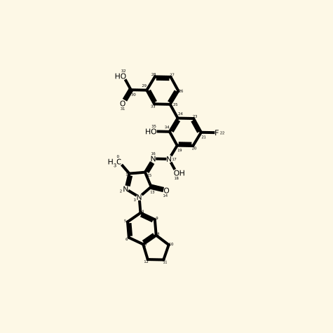 CC1=NN(c2ccc3c(c2)CCC3)C(=O)C1=NN(O)c1cc(F)cc(-c2cccc(C(=O)O)c2)c1O